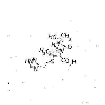 C[C@@H](O)[C@H]1C(=O)N2C(C(=O)O)=C(SCCc3nc[nH]n3)[C@H](C)[C@H]12